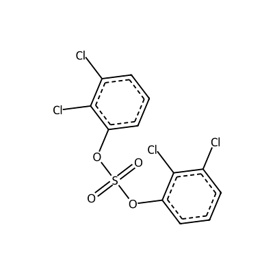 O=S(=O)(Oc1cccc(Cl)c1Cl)Oc1cccc(Cl)c1Cl